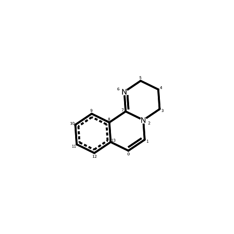 C1=CN2CCCN=C2c2ccccc21